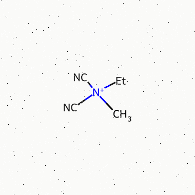 CC[N+](C)(C#N)C#N